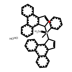 Cl.Cl.[CH3][Zr](=[GeH2])([c]1ccccc1)([CH]1C=Cc2c1c1ccccc1c1ccccc21)[CH]1C=Cc2c1c1ccccc1c1ccccc21